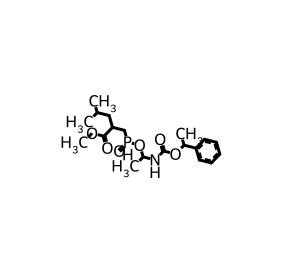 COC(=O)C(CC(C)C)C[PH](=O)OC(C)NC(=O)OC(C)c1ccccc1